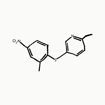 Cc1ccc(Sc2ccc([N+](=O)[O-])cc2C)cn1